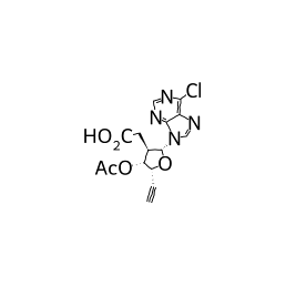 C#C[C@H]1O[C@@H](n2cnc3c(Cl)ncnc32)[C@H](CC(=O)O)[C@H]1OC(C)=O